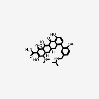 COc1ccc(CNC(C)C)cc1-c1ccc(O)c2c1C[C@@H]1C[C@@H]3C(N(C)C)C(O)=C(C(N)=O)C(=O)[C@]3(O)C(O)=C1C2=O